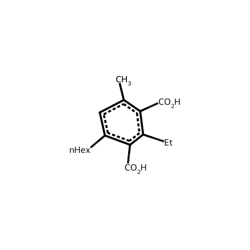 CCCCCCc1cc(C)c(C(=O)O)c(CC)c1C(=O)O